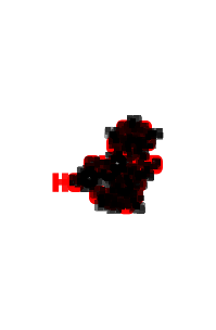 CC(=O)OC[C@H]1OC(Oc2ccc(C=CC(=O)c3ccc(O)cc3O)c(OC3O[C@H](COC(C)=O)[C@@H](OC(C)=O)[C@H](OC(C)=O)[C@H]3OC(C)=O)c2)[C@H](OC(C)=O)[C@@H](OC(C)=O)[C@@H]1OC(C)=O